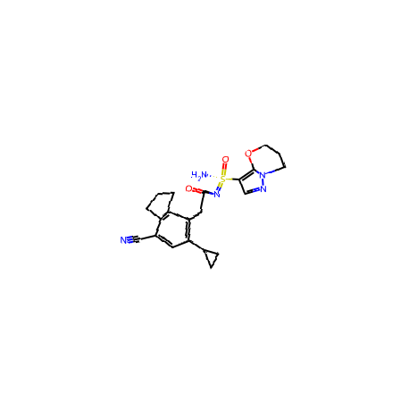 N#Cc1cc(C2CC2)c(CC(=O)N=[S@@](N)(=O)c2cnn3c2OCCC3)c2c1CCC2